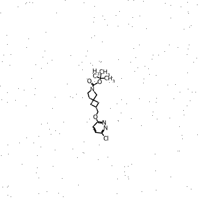 CC(C)(C)OC(=O)N1CCC2(CC(COc3ccc(Cl)nn3)C2)C1